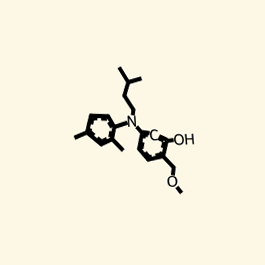 COCc1ccc(N(CCC(C)C)c2ccc(C)cc2C)cc1O